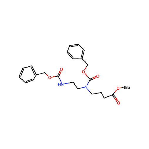 CC(C)(C)OC(=O)CCCN(CCNC(=O)OCc1ccccc1)C(=O)OCc1ccccc1